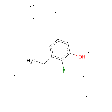 CCc1cccc(O)c1F